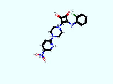 O=c1c(Nc2ccccc2F)c(N2CCN(c3ccc([N+](=O)[O-])cn3)CC2)c1=O